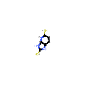 Sc1ccc2nc(S)[nH]c2n1